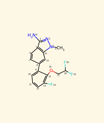 Cn1nc(N)c2ccc(-c3cccc(F)c3OCC(F)F)cc21